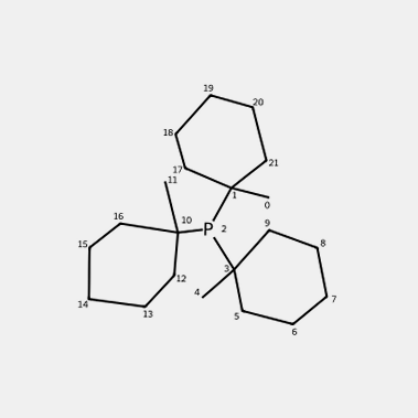 CC1(P(C2(C)CCCCC2)C2(C)CCCCC2)CCCCC1